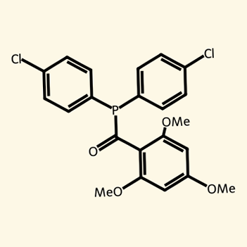 COc1cc(OC)c(C(=O)P(c2ccc(Cl)cc2)c2ccc(Cl)cc2)c(OC)c1